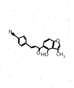 Cc1coc2ccc(C(=O)C=Cc3ccc(C#N)cc3)c(O)c12